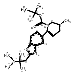 C[C@H]1CC=C(c2ccc3sc(CC(C)(C)N(C)C)nc3c2)N(C(=O)OC(C)(C)C)C1